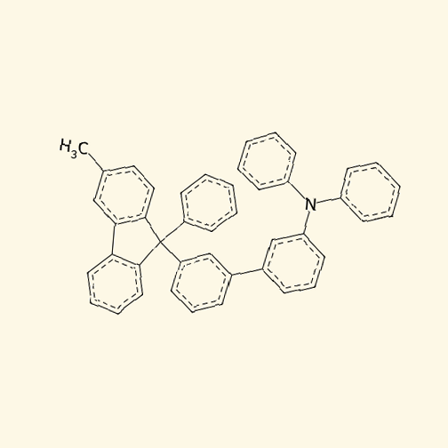 Cc1ccc2c(c1)-c1ccccc1C2(c1ccccc1)c1cccc(-c2cccc(N(c3ccccc3)c3ccccc3)c2)c1